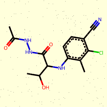 CC(=O)NNC(=O)C(Nc1ccc(C#N)c(Cl)c1C)C(C)O